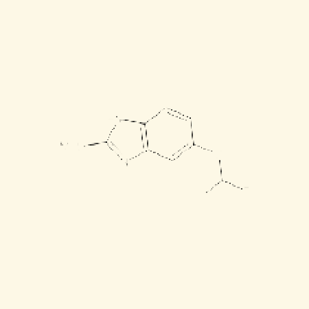 CSc1nc2cc(OC(F)F)ccc2[nH]1